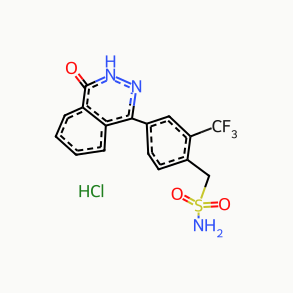 Cl.NS(=O)(=O)Cc1ccc(-c2n[nH]c(=O)c3ccccc23)cc1C(F)(F)F